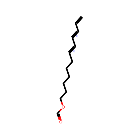 C=C/C=C/C=C/CCCCCCOC=O